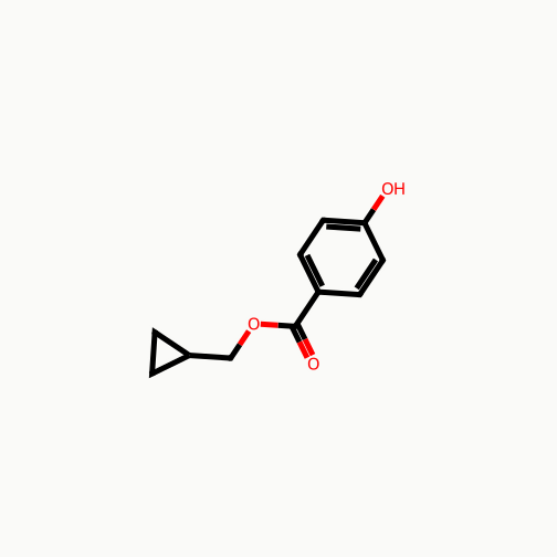 O=C(OCC1CC1)c1ccc(O)cc1